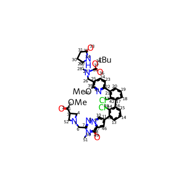 COC(=O)C1CN(Cc2nn3cc(-c4cccc(-c5cccc(-c6ccc(CN(C[C@@H]7CCC(=O)N7)C(=O)OC(C)(C)C)c(OC)n6)c5Cl)c4Cl)cc3c(=O)n2C)C1